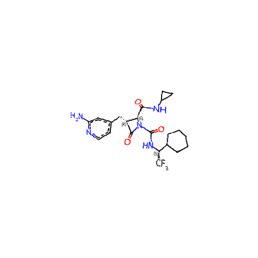 Nc1cc(C[C@H]2C(=O)N(C(=O)N[C@@H](C3CCCCC3)C(F)(F)F)[C@@H]2C(=O)NC2CC2)ccn1